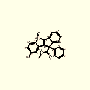 COC(=O)C1(c2ccccc2)c2ccccc2-c2c1c1cc(C)ccc1n2C